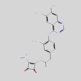 CCN(CC)c1c(NC(Cc2ccc(Nc3ncnc4cc(OC)c(OC)cc34)c(OC)c2)C(=O)O)c(=O)c1=O